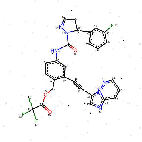 O=C(Nc1ccc(COC(=O)C(F)(F)F)c(C#Cc2cnc3cccnn23)c1)N1N=CC[C@H]1c1cccc(F)c1